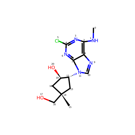 CNc1nc(Cl)nc2c1ncn2[C@@H]1C[C@](C)(CO)C[C@H]1O